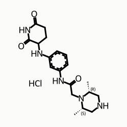 C[C@@H]1CNC[C@H](C)N1CC(=O)Nc1cccc(NC2CCC(=O)NC2=O)c1.Cl